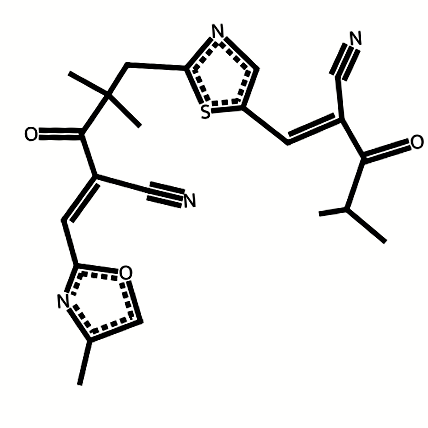 Cc1coc(/C=C(\C#N)C(=O)C(C)(C)Cc2ncc(/C=C(\C#N)C(=O)C(C)C)s2)n1